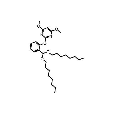 CCCCCCCCOC(OCCCCCCCC)c1ccccc1Oc1nc(OC)cc(OC)n1